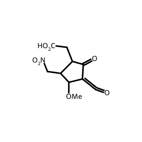 COC1C(=C=O)C(=O)C(CC(=O)O)C1C[N+](=O)[O-]